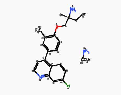 CC(C)C[C@](C)(N)COc1ccc(-c2ccnc3cc(Cl)ccc23)cc1C(F)(F)F.NC(=O)O